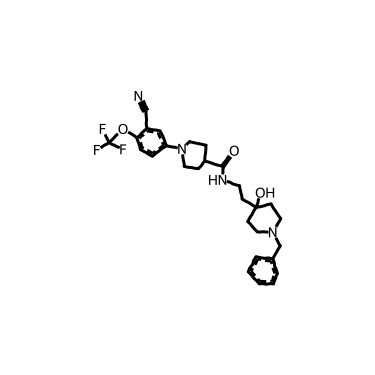 N#Cc1cc(N2CCC(C(=O)NCCC3(O)CCN(Cc4ccccc4)CC3)CC2)ccc1OC(F)(F)F